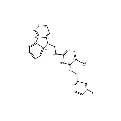 Cc1cccc(CC[C@H](NC(=O)OCC2c3ccccc3-c3ccccc32)C(=O)O)c1